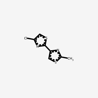 Cc1nc(-c2nc(Cl)cs2)cs1